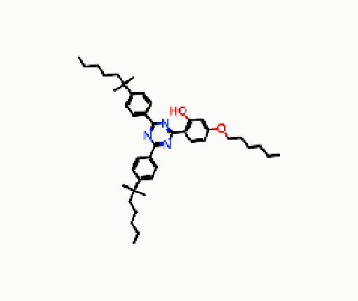 CCCCCCOc1ccc(-c2nc(-c3ccc(C(C)(C)CCCCC)cc3)nc(-c3ccc(C(C)(C)CCCCC)cc3)n2)c(O)c1